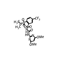 COc1cc(OC)nc(NC(=O)NS(=O)(=O)c2cc(C(F)(F)F)ccc2S(=O)(=O)N(C)C)n1